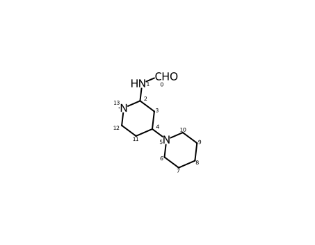 O=CNC1CC(N2CCCCC2)CC[N]1